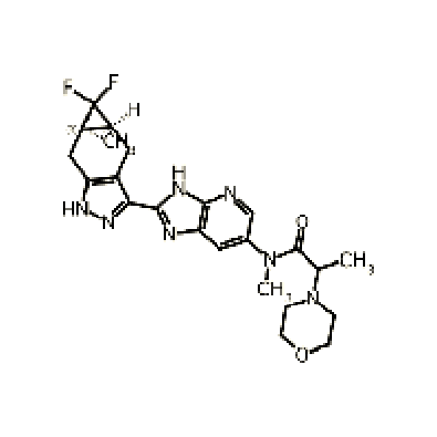 CC(C(=O)N(C)c1cnc2[nH]c(-c3n[nH]c4c3C[C@@H]3C(F)(F)[C@]3(C)C4)nc2c1)N1CCOCC1